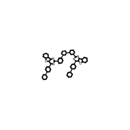 c1ccc(-c2ccc(-c3nc(-c4cccc(-c5cccc(-c6cccc(-c7nc(-c8ccc(-c9ccccc9)cc8)c8oc9ccccc9c8n7)c6)c5)c4)nc4c3oc3ccccc34)cc2)cc1